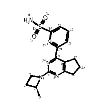 C[C@H]1CCN1c1nc2c(c(-c3cccc(S(N)(=O)=O)n3)n1)CCC2